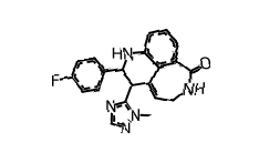 Cn1ncnc1C1C2=CCNC(=O)c3cccc(c32)NC1c1ccc(F)cc1